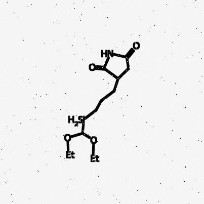 CCOC(OCC)[SiH2]CCCC1CC(=O)NC1=O